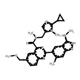 CNc1[nH]nc2cc(C)c(-c3nc(C(=O)N(C)Cc4cnc(C5CC5)n4C)c4cc(COC)ccc4n3)cc12